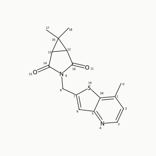 Cc1ccnc2cc(CN3C(=O)C4C(C3=O)C4(C)C)sc12